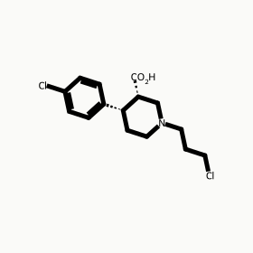 O=C(O)[C@@H]1CN(CCCCl)CC[C@@H]1c1ccc(Cl)cc1